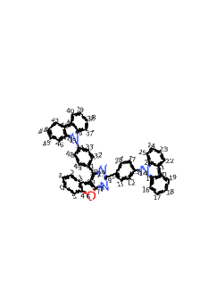 c1ccc2c(c1)oc1nc(-c3ccc(-n4c5ccccc5c5ccccc54)cc3)nc(-c3ccc(-n4c5ccccc5c5ccccc54)cc3)c12